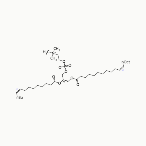 CCCC/C=C\CCCCCCCC(=O)O[C@H](COC(=O)CCCCCCCCC/C=C\CCCCCCCC)COP(=O)([O-])OCC[N+](C)(C)C